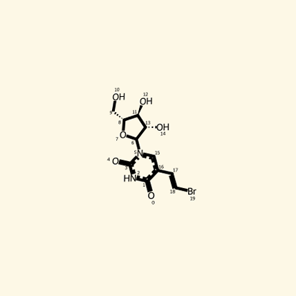 O=c1[nH]c(=O)n(C2O[C@H](CO)[C@@H](O)[C@@H]2O)cc1C=CBr